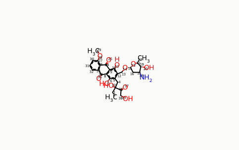 CCC(O)(Cc1c(O)c2c(c(O)c1CO[C@H]1C[C@H](N)[C@H](O)[C@H](C)O1)C(=O)c1c(OC)cccc1C2=O)C(=O)CO